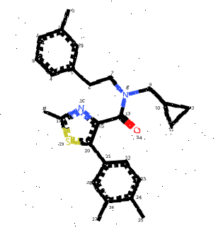 Cc1cccc(CCN(CC2CC2)C(=O)c2nc(C)sc2-c2ccc(C)c(C)c2)c1